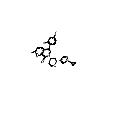 Cc1ccc2c(-c3ccc(F)cc3F)cn([C@H]3CCO[C@@H](c4cnn(C5CC5)c4)C3)c(=O)c2n1